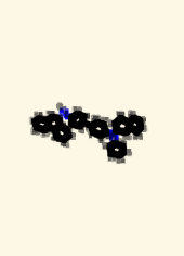 CN(c1ccc(-c2ccc(N(c3ccccc3)c3ccc4ccccc4c3)cc2)cc1)c1cc2ccccc2c2ccccc12